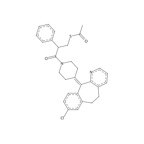 CC(=O)SCC(C(=O)N1CCC(=C2c3ccc(Cl)cc3CCc3cccnc32)CC1)c1ccccc1